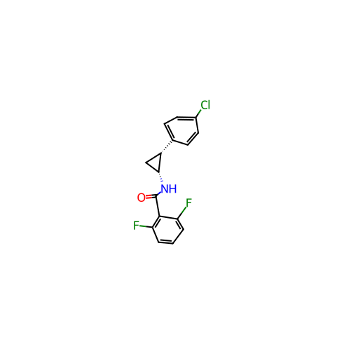 O=C(N[C@@H]1C[C@@H]1c1ccc(Cl)cc1)c1c(F)cccc1F